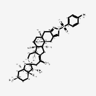 CC1=C2C[C@H]3[C@@H](CC[C@@H]4Cc5nn(S(=O)(=O)c6ccc(C)cc6)cc5C[C@@]43C)[C@@H]2CC[C@@]2(C1)O[C@@H]1C[C@H](C)CC[C@H]1[C@H]2C